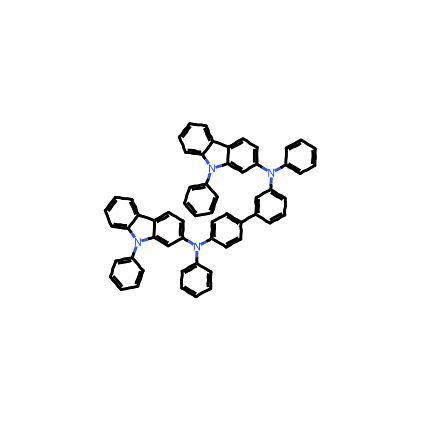 c1ccc(N(c2ccc(-c3cccc(N(c4ccccc4)c4ccc5c6ccccc6n(-c6ccccc6)c5c4)c3)cc2)c2ccc3c4ccccc4n(-c4ccccc4)c3c2)cc1